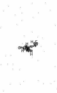 Cc1cccnc1-c1ccccc1[C@@H]1CCCN1C1CC2(CCN(c3ccc(C(=O)NS(=O)(=O)c4ccc(NCC5CCOCC5)c([N+](=O)[O-])c4)c(N4c5cc6cc[nH]c6nc5O[C@@H]5COC[C@H]54)c3)CC2)C1